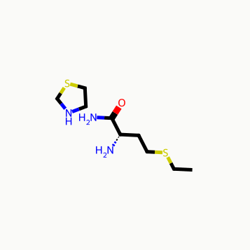 C1CSCN1.CCSCC[C@H](N)C(N)=O